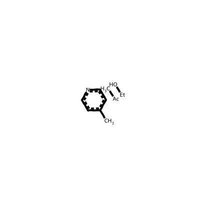 CC(C)=O.CCO.Cc1ccncc1